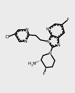 N[C@@H]1CN(c2nc3cc(F)cnc3n2CCc2ncc(Cl)cn2)CC[C@H]1F